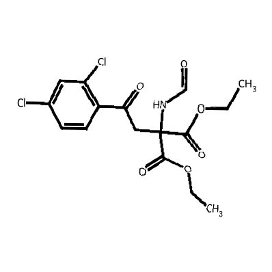 CCOC(=O)C(CC(=O)c1ccc(Cl)cc1Cl)(NC=O)C(=O)OCC